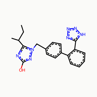 CCC(C)c1nc(O)nn1Cc1ccc(-c2ccccc2-c2nnn[nH]2)cc1